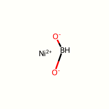 [Ni+2].[O-]B[O-]